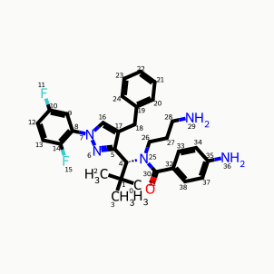 CC(C)(C)[C@H](c1nn(-c2cc(F)ccc2F)cc1Cc1ccccc1)N(CCCN)C(=O)c1ccc(N)cc1